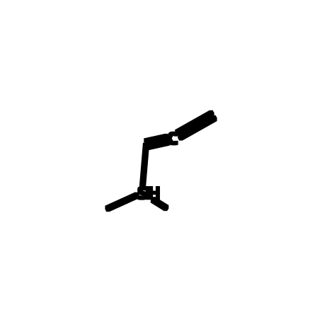 C=C=C[SiH](C)C